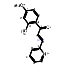 CC(C)COc1ccc(C(=O)/C=C/c2ccccn2)c(O)c1